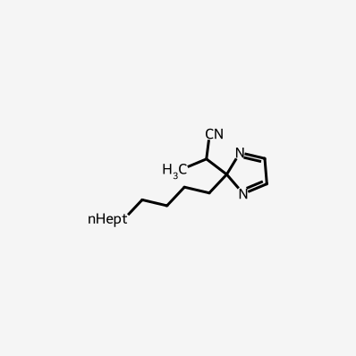 CCCCCCCCCCCC1(C(C)C#N)N=CC=N1